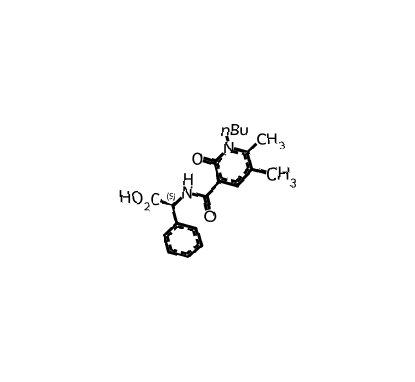 CCCCn1c(C)c(C)cc(C(=O)N[C@H](C(=O)O)c2ccccc2)c1=O